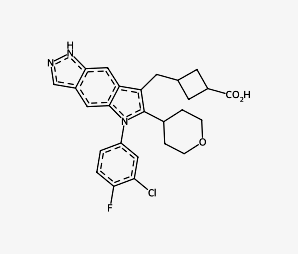 O=C(O)C1CC(Cc2c(C3CCOCC3)n(-c3ccc(F)c(Cl)c3)c3cc4cn[nH]c4cc23)C1